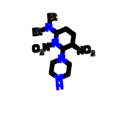 CCN(CC)C1CCC([N+](=O)[O-])C(N2CCNCC2)N1[N+](=O)[O-]